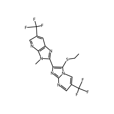 CCSc1c(-c2nc3cc(C(F)(F)F)cnc3n2C)nc2ncc(C(F)(F)F)cn12